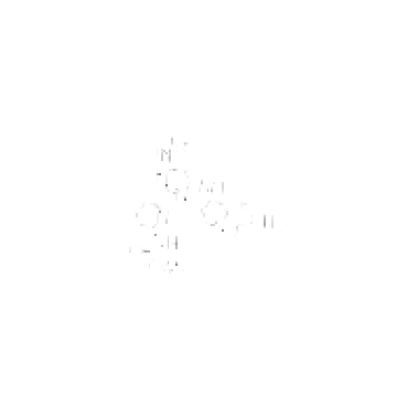 CCNc1cc(Nc2ccnc(C(C)(F)F)c2)nc(-c2cccc(NC(=O)OC)n2)n1